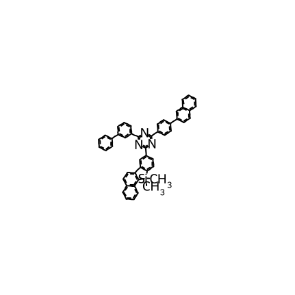 C[Si]1(C)c2ccc(-c3nc(-c4ccc(-c5ccc6ccccc6c5)cc4)nc(-c4cccc(-c5ccccc5)c4)n3)cc2-c2ccc3ccccc3c21